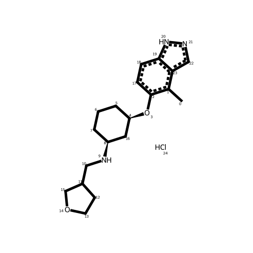 Cc1c(O[C@@H]2CCC[C@H](NCC3CCOC3)C2)ccc2[nH]ncc12.Cl